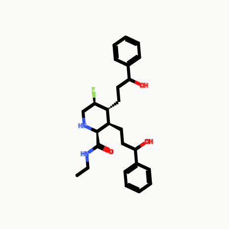 CCNC(=O)[C@H]1NC[C@@H](F)[C@H](CCC(O)c2ccccc2)[C@H]1CCC(O)c1ccccc1